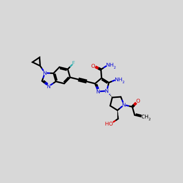 C=CC(=O)N1C[C@@H](n2nc(C#Cc3cc4ncn(C5CC5)c4cc3F)c(C(N)=O)c2N)C[C@@H]1CO